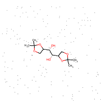 CC1(C)OCC([C@H](O)[C@@H](O)C2COC(C)(C)O2)O1